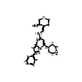 N=C1COCC/C1=C/Nc1cc(N2CCOCC2)n2nc(-c3ccncc3)cc2n1